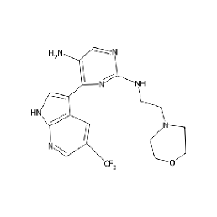 Nc1cnc(NCCN2CCOCC2)nc1-c1c[nH]c2ncc(C(F)(F)F)cc12